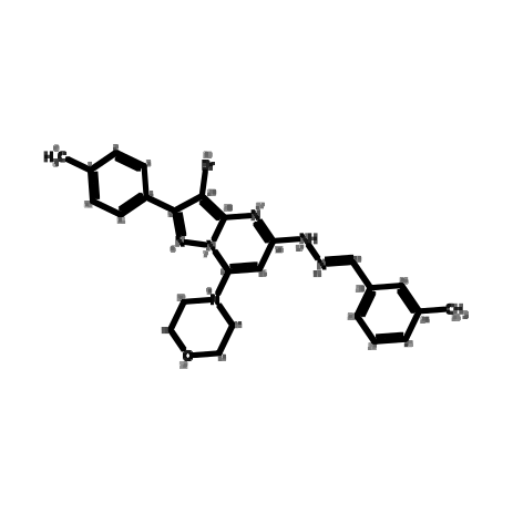 Cc1ccc(-c2nn3c(N4CCOCC4)cc(NN=Cc4cccc(C)c4)nc3c2Br)cc1